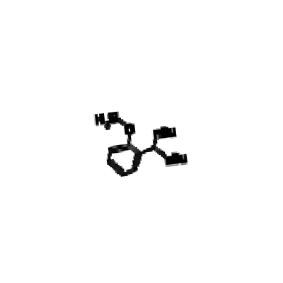 CCCCC(CCCC)c1ccccc1O[SiH3]